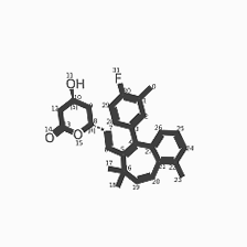 Cc1cc(C2=C(C=C[C@H]3C[C@H](O)CC(=O)O3)C(C)(C)C=Cc3c(C)cccc32)ccc1F